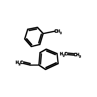 C=C.C=Cc1ccccc1.Cc1ccccc1